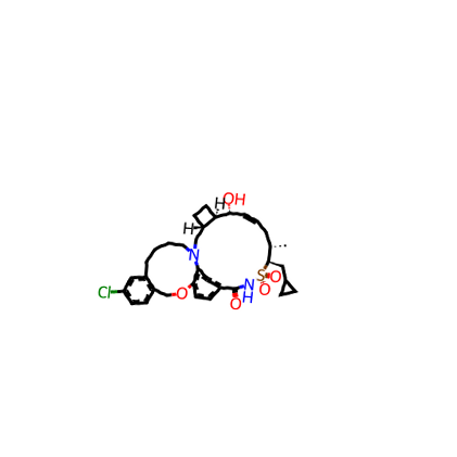 C[C@H]1C/C=C\[C@@H](O)[C@@H]2CC[C@H]2CN2CCCCc3cc(Cl)ccc3COc3ccc(cc32)C(=O)NS(=O)(=O)[C@@H]1CC1CC1